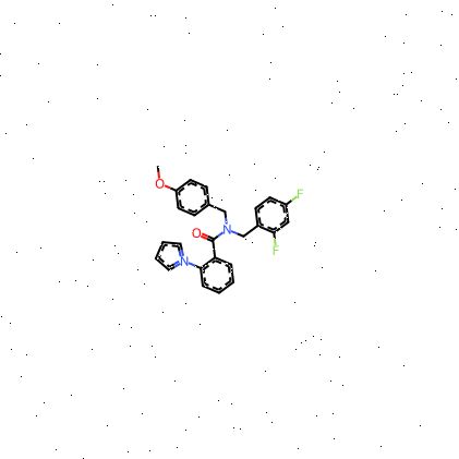 COc1ccc(CN(Cc2ccc(F)cc2F)C(=O)c2ccccc2-n2cccc2)cc1